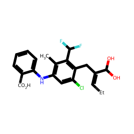 CCC=C(Cc1c(Cl)cc(Nc2ccccc2C(=O)O)c(C)c1C(F)F)C(O)O